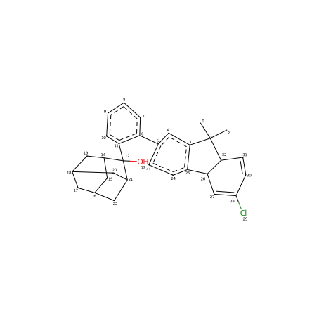 CC1(C)c2cc(-c3ccccc3C3(O)C4CC5CC(C4)CC3C5)ccc2C2C=C(Cl)C=CC21